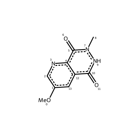 COc1cnc2c(=O)n(C)[nH]c(=O)c2c1